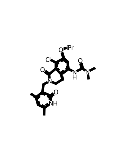 Cc1cc(C)c(CN2CCc3c(NC(=O)N(C)C)cc(OC(C)C)c(Cl)c3C2=O)c(=O)[nH]1